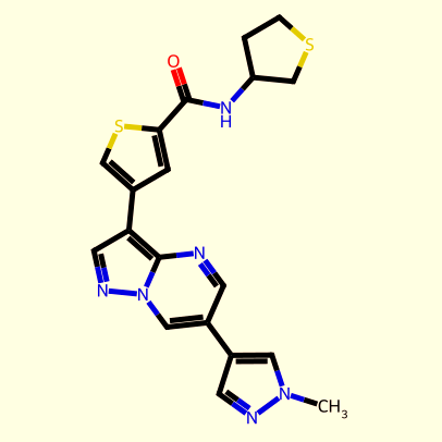 Cn1cc(-c2cnc3c(-c4csc(C(=O)NC5CCSC5)c4)cnn3c2)cn1